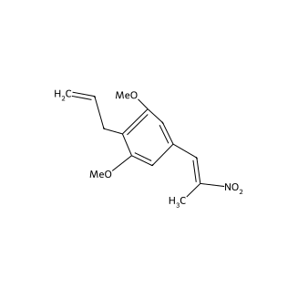 C=CCc1c(OC)cc(C=C(C)[N+](=O)[O-])cc1OC